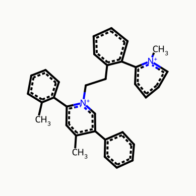 Cc1cc(-c2ccccc2C)[n+](CCc2ccccc2-c2cccc[n+]2C)cc1-c1ccccc1